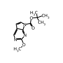 COc1ncc2ccn(C(=O)OC(C)(C)C)c2n1